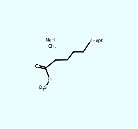 C.CCCCCCCCCCCC(=O)OS(=O)(=O)O.[NaH]